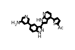 CC(=O)c1ccc(-c2ccnc3[nH]c(-c4n[nH]c5ccc(-c6cncc(N)c6)cc45)cc23)s1